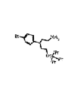 CC(C)[Si](OCCC(CCN)c1ccc(Br)cc1)(C(C)C)C(C)C